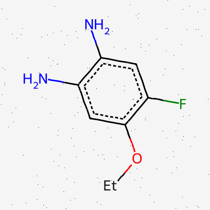 CCOc1cc(N)c(N)cc1F